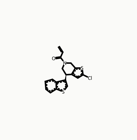 C=CC(=O)N1Cc2sc(Cl)cc2[C@@H](c2csc3ccccc23)C1